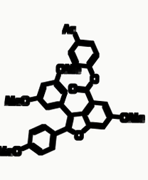 COc1ccc(-c2oc3cc(OC)cc(C(=O)Oc4ccc(C(C)=O)cc4)c3c2-c2cc(OC)cc(OC)c2)cc1